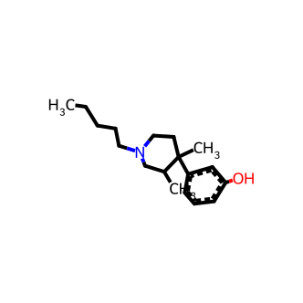 CCCCCN1CCC(C)(c2cccc(O)c2)C(C)C1